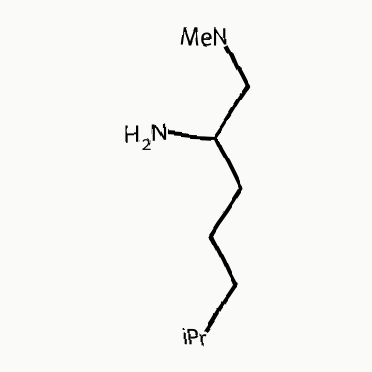 CNCC(N)CCCC(C)C